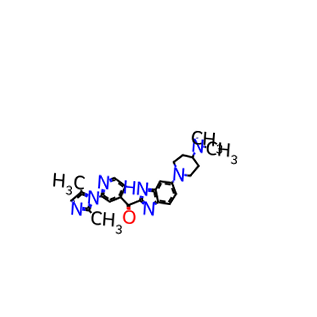 Cc1cnc(C)n1-c1cc(C(=O)c2nc3ccc(N4CCC(N(C)C)CC4)cc3[nH]2)ccn1